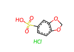 Cl.O=S(=O)(O)c1ccc2c(c1)OCO2